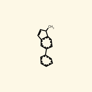 C[C]1C=Cc2cc(-c3ccccc3)ccc21